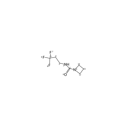 O=C(NCCC(F)(F)F)N1CCC1